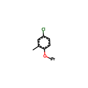 Cc1cc(Cl)ccc1OC(C)C